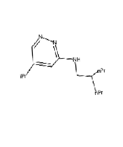 CCCC(CCC)CNc1cc(C(C)C)cnn1